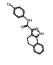 O=C(Nc1ccc(Cl)cc1)c1n[nH]c2c1CCc1ccccc1-2